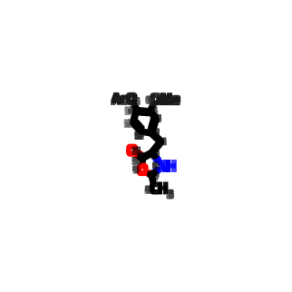 COc1cc(CC2NC(C)OC2=O)ccc1OC(C)=O